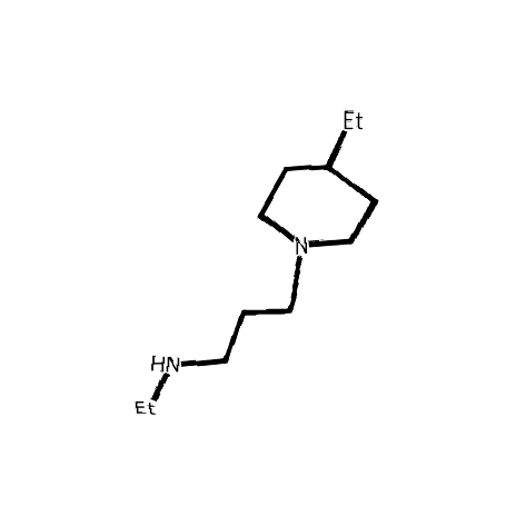 CCNCCCN1CCC(CC)CC1